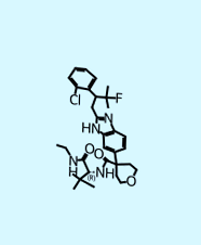 CCNC(=O)[C@H](NC(=O)C1(c2ccc3nc(CC(c4ccccc4Cl)C(C)(C)F)[nH]c3c2)CCOCC1)C(C)(C)C